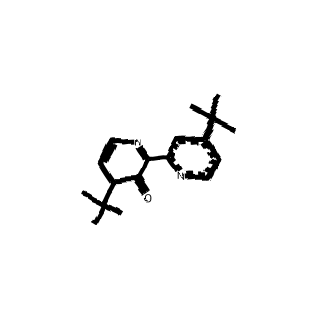 CC(C)(C)c1ccnc(C2=NC=CC(C(C)(C)C)C2=O)c1